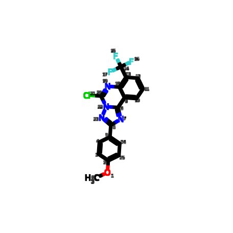 COc1ccc(-c2nc3c4cccc(C(F)(F)F)c4nc(Cl)n3n2)cc1